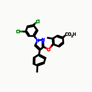 Cc1ccc(-c2cn(-c3cc(Cl)cc(Cl)c3)nc2Oc2ccc(C(=O)O)cc2C)cc1